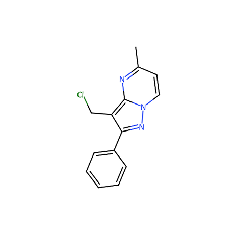 Cc1ccn2nc(-c3ccccc3)c(CCl)c2n1